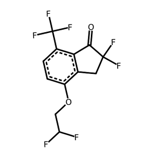 O=C1c2c(C(F)(F)F)ccc(OCC(F)F)c2CC1(F)F